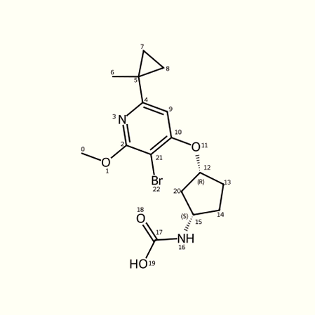 COc1nc(C2(C)CC2)cc(O[C@@H]2CC[C@H](NC(=O)O)C2)c1Br